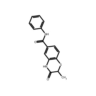 CC1Sc2ccc(C(=O)Nc3ccccc3)cc2NC1=O